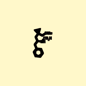 COCC1(CC(Cc2ccccc2)NC(=O)O)CC1